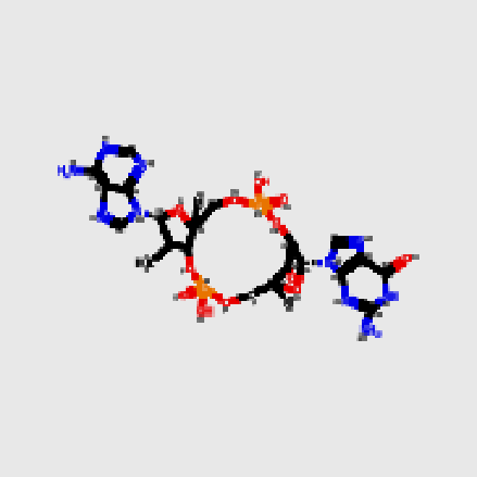 CC1C2OP(=O)(O)OC[C@H]3O[C@@H](n4cnc5c(=O)[nH]c(N)nc54)C(OP(=O)(O)OC[C@H]2O[C@H]1n1cnc2c(N)ncnc21)C3O